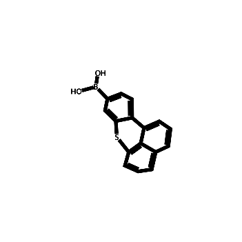 OB(O)c1ccc2c(c1)Sc1cccc3cccc-2c13